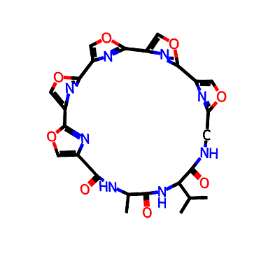 CC1NC(=O)c2coc(n2)-c2coc(n2)-c2coc(n2)-c2coc(n2)-c2coc(n2)CNC(=O)C(C(C)C)NC1=O